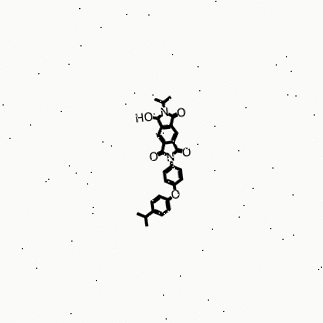 CC(C)c1ccc(Oc2ccc(N3C(=O)c4cc5c(cc4C3=O)C(O)N(C(C)C)C5=O)cc2)cc1